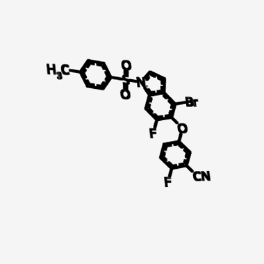 Cc1ccc(S(=O)(=O)n2ccc3c(Br)c(Oc4ccc(F)c(C#N)c4)c(F)cc32)cc1